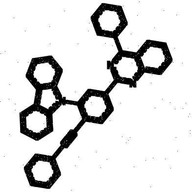 C(#Cc1ccc(-c2nc(-c3ccccc3)c3ccccc3n2)cc1-n1c2ccccc2c2ccccc21)c1ccccc1